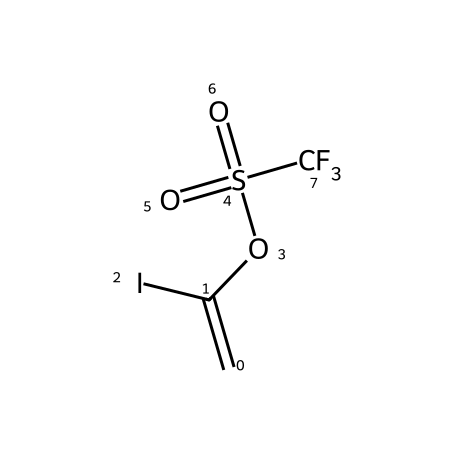 C=C(I)OS(=O)(=O)C(F)(F)F